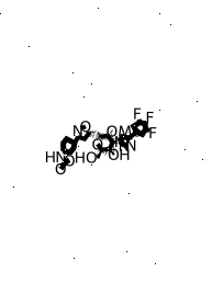 CO[C@@H]1[C@@H](n2cc(-c3cc(F)c(F)c(F)c3)nn2)[C@@H](O)[C@@H](CO)O[C@@H]1C[C@@H]1CC(c2ccc3[nH]c(=O)oc3c2)=NO1